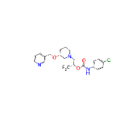 O=C(Nc1ccc(Cl)cc1)O[C@@H](CN1CCCC(OCc2cccnc2)C1)C(F)(F)F